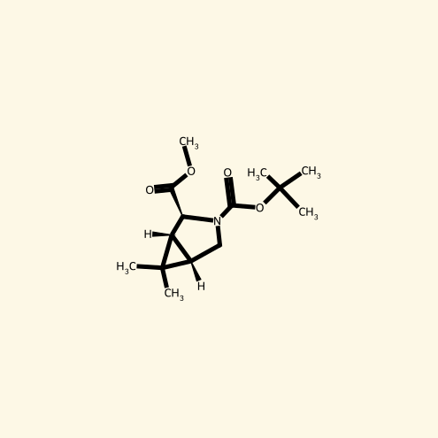 COC(=O)[C@@H]1[C@@H]2[C@H](CN1C(=O)OC(C)(C)C)C2(C)C